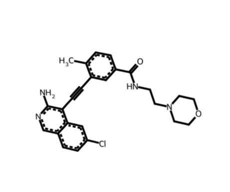 Cc1ccc(C(=O)NCCN2CCOCC2)cc1C#Cc1c(N)ncc2ccc(Cl)cc12